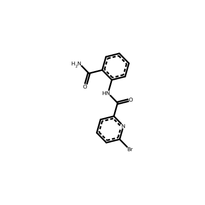 NC(=O)c1ccccc1NC(=O)c1cccc(Br)n1